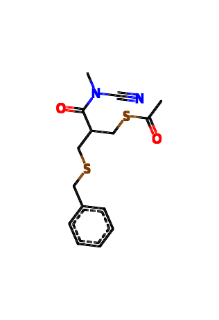 CC(=O)SCC(CSCc1ccccc1)C(=O)N(C)C#N